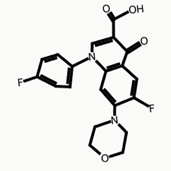 O=C(O)c1cn(-c2ccc(F)cc2)c2cc(N3CCOCC3)c(F)cc2c1=O